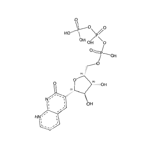 O=c1nc2[nH]cccc-2cc1[C@@H]1O[C@H](COP(=O)(O)OP(=O)(O)OP(=O)(O)O)[C@H](O)C1O